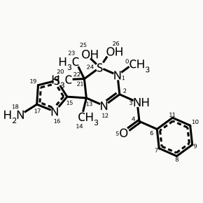 CN1C(NC(=O)c2ccccc2)=NC(C)(c2nc(N)cs2)C(C)(C)S1(O)O